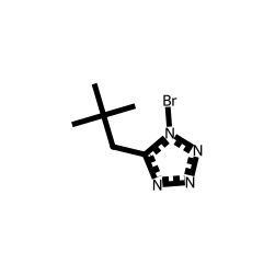 CC(C)(C)Cc1nnnn1Br